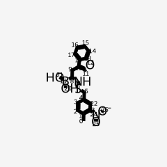 Cc1ccc(CSNC(Cc2coc3ccccc23)B(O)O)cc1[N+](=O)[O-]